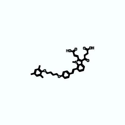 Cc1cc(C)c(OCCCCOc2ccc(/C=C/c3cccc4c(C(=O)CCC(=O)O)c(/C=C/C(=O)O)n(C)c34)cc2)c(C)c1